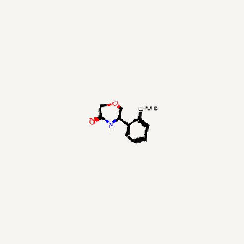 COc1ccccc1C1COCC(=O)N1